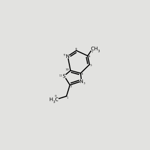 CCc1nc2cc(C)cnc2s1